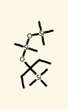 CCC(CC)(O[Si](C)(C)O[Si](C)(C)C)[Si](C)(C)C